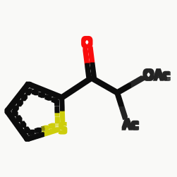 CC(=O)OC(C(C)=O)C(=O)c1cccs1